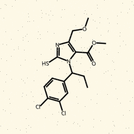 CCC(c1ccc(Cl)c(Cl)c1)n1c(S)nc(COC)c1C(=O)OC